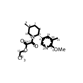 COc1ncc([C@H]2CC[C@H](C)CN2C(=O)C(=O)OCC(F)(F)F)cc1C